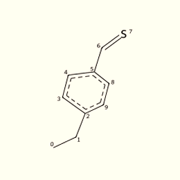 CCc1ccc(C=S)cc1